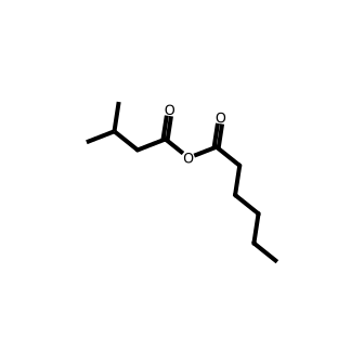 CCCCCC(=O)OC(=O)CC(C)C